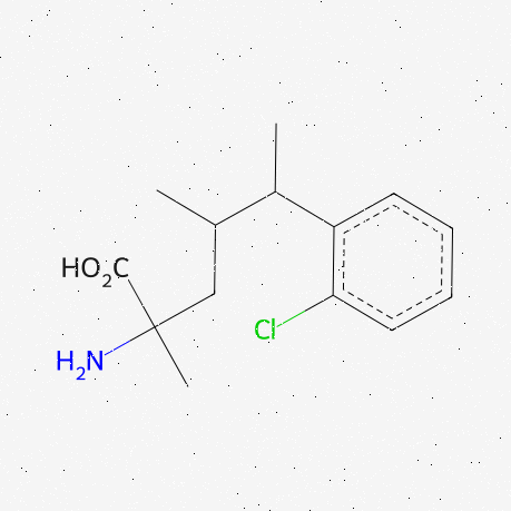 CC(CC(C)(N)C(=O)O)C(C)c1ccccc1Cl